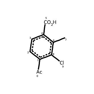 CC(=O)c1ccc(C(=O)O)c(C)c1Cl